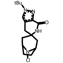 CC(C)(C)n1cc2c(n1)C(=O)NC1(C2)CC2CCC(C1)N2Cl